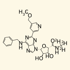 [2H]C([2H])([2H])NC(=O)[C@H]1O[C@@H](n2cnc3c(NCc4ccccc4)nc(-c4cncc(COC)c4)nc32)[C@H](O)[C@@H]1O